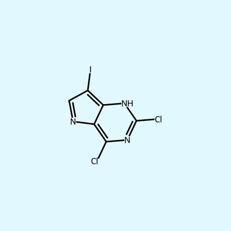 Clc1nc(Cl)c2ncc(I)c-2[nH]1